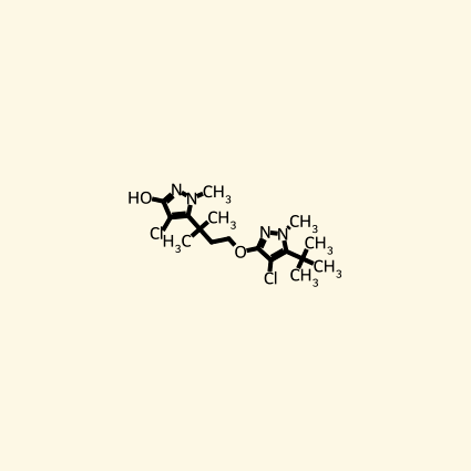 Cn1nc(OCCC(C)(C)c2c(Cl)c(O)nn2C)c(Cl)c1C(C)(C)C